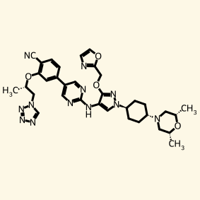 C[C@@H]1CN([C@H]2CC[C@H](n3cc(Nc4ncc(-c5ccc(C#N)c(O[C@@H](C)Cn6cnnn6)c5)cn4)c(OCc4ncco4)n3)CC2)C[C@H](C)O1